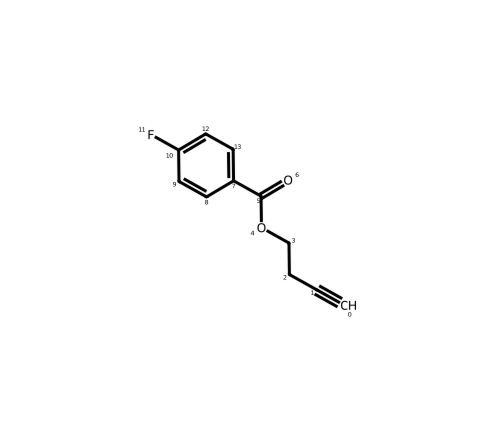 C#CCCOC(=O)c1ccc(F)cc1